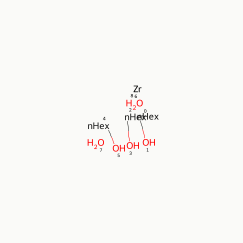 CCCCCCO.CCCCCCO.CCCCCCO.O.O.[Zr]